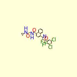 O=C(CNC(=O)c1ccc(C2=NOC(c3cc(Cl)cc(Cl)c3)(C(F)(F)F)C2)c2ccccc12)NC1CC1